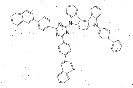 c1ccc(-c2ccc(-n3c4ccccc4c4c5c6ccccc6n(-c6nc(-c7ccc(-c8ccc9ccccc9c8)cc7)nc(-c7ccc(-c8ccc9ccccc9c8)cc7)n6)c5ccc43)cc2)cc1